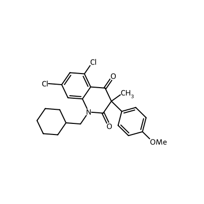 COc1ccc(C2(C)C(=O)c3c(Cl)cc(Cl)cc3N(CC3CCCCC3)C2=O)cc1